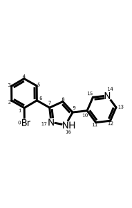 Brc1ccccc1-c1cc(-c2cccnc2)[nH]n1